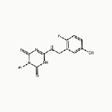 CC(C)n1c(=O)nc(NCc2cc(O)ccc2F)[nH]c1=O